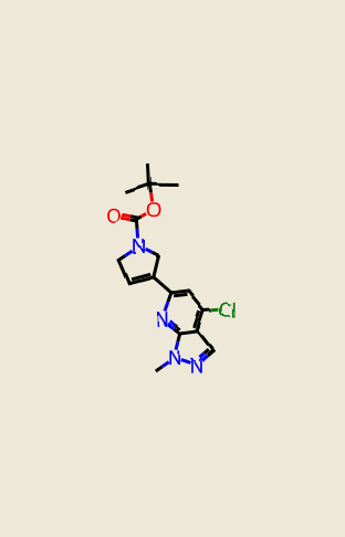 Cn1ncc2c(Cl)cc(C3=CCN(C(=O)OC(C)(C)C)C3)nc21